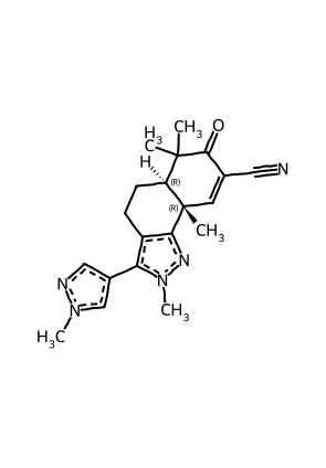 Cn1cc(-c2c3c(nn2C)[C@@]2(C)C=C(C#N)C(=O)C(C)(C)[C@@H]2CC3)cn1